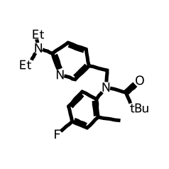 CCN(CC)c1ccc(CN(C(=O)C(C)(C)C)c2ccc(F)cc2C)cn1